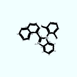 Cc1cccc(C)c1-n1c(-c2cccc3ccccc23)nc2ccccc21